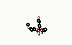 NC1C2CCC1CN(C(=O)[C@@H](NS(=O)(=O)c1ccc3cc(OC4CCCC4)ccc3c1)C(F)(F)c1ccc(-c3ccc(Cl)cc3)cc1)C2